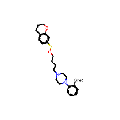 COc1ccccc1N1CCN(CCCCOSc2ccc3c(c2)OCCC3)CC1